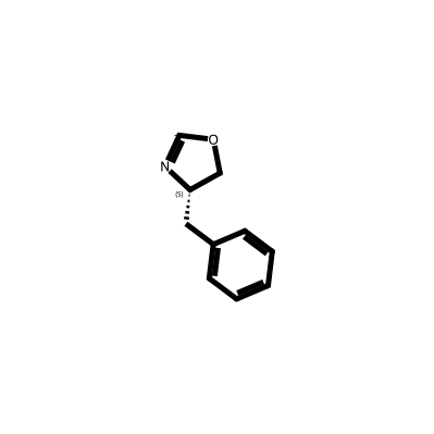 [C]1=N[C@@H](Cc2ccccc2)CO1